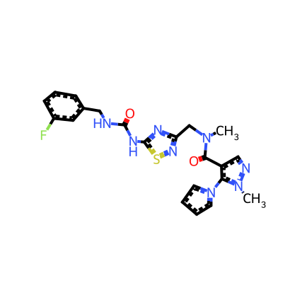 CN(Cc1nsc(NC(=O)NCc2cccc(F)c2)n1)C(=O)c1cnn(C)c1-n1cccc1